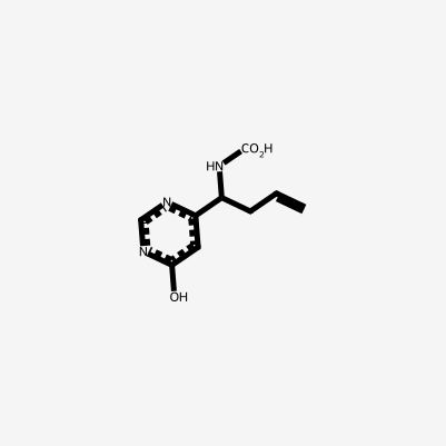 C=CCC(NC(=O)O)c1cc(O)ncn1